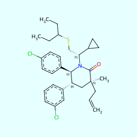 C=CC[C@@]1(C)C[C@H](c2cccc(Cl)c2)[C@@H](c2ccc(Cl)cc2)N([C@H](CSC(CC)CC)C2CC2)C1=O